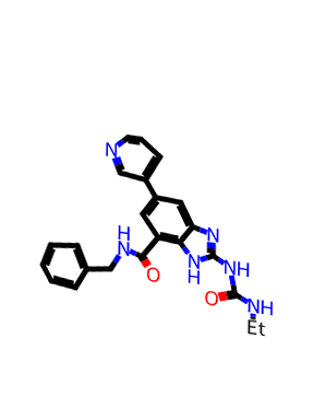 CCNC(=O)Nc1nc2cc(-c3cccnc3)cc(C(=O)NCc3ccccc3)c2[nH]1